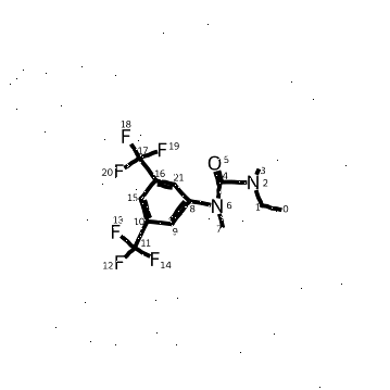 CCN(C)C(=O)N(C)c1cc(C(F)(F)F)cc(C(F)(F)F)c1